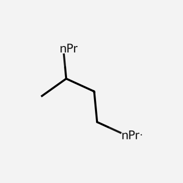 CC[CH]CCC(C)CCC